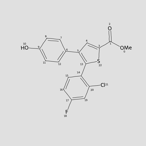 COC(=O)c1cc(-c2ccc(O)cc2)c(-c2ccc(F)cc2Cl)s1